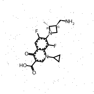 C[C@@H]1[C@@H](CN)CN1c1c(F)cc2c(=O)c(C(=O)O)cn(C3CC3)c2c1F